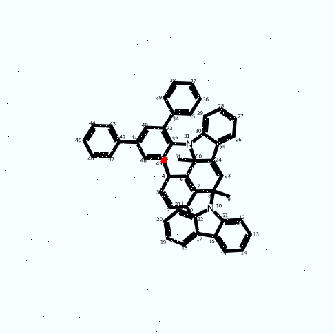 CC1C=CC2(C)C3=C1C(C)(n1c4ccccc4c4ccccc41)C=C1c4ccccc4N(c4c(-c5ccccc5)cc(-c5ccccc5)cc42)C13C